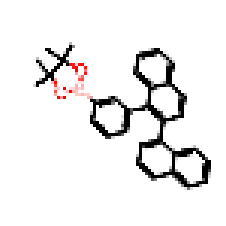 CC1(C)OB(c2cccc(-c3c(-c4cccc5ccccc45)ccc4ccccc34)c2)OC1(C)C